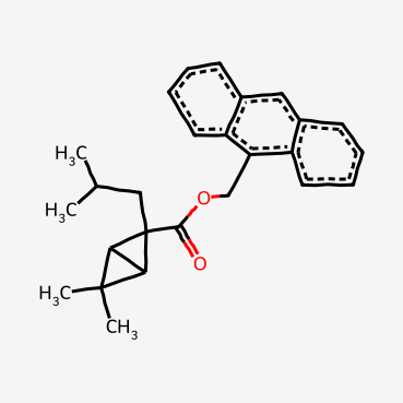 CC(C)CC1(C(=O)OCc2c3ccccc3cc3ccccc23)C2C1C2(C)C